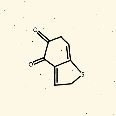 O=C1CC=C2SCC=C2C1=O